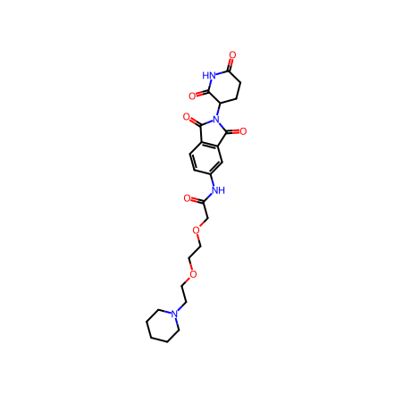 O=C1CCC(N2C(=O)c3ccc(NC(=O)COCCOCCN4CCCCC4)cc3C2=O)C(=O)N1